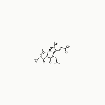 CNc1nn2c(O)c(C(=O)NC3CC3)c(=O)n(CC(C)C)c2c1/C=C/C(=O)O